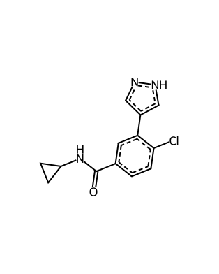 O=C(NC1CC1)c1ccc(Cl)c(-c2cn[nH]c2)c1